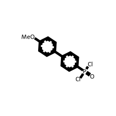 COc1ccc(-c2ccc(P(=O)(Cl)Cl)cc2)cc1